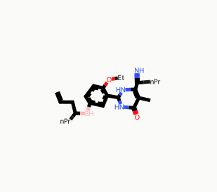 C=CCC(Bc1ccc(OCC)c(C2NC(=O)C(C)=C(C(=N)CCC)N2)c1)CCC